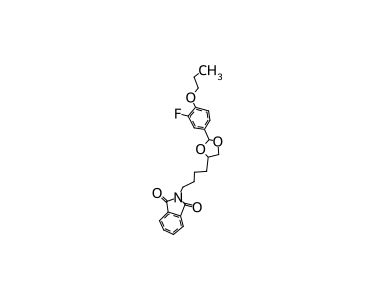 CCCOc1ccc(C2OCC(CCCCN3C(=O)c4ccccc4C3=O)O2)cc1F